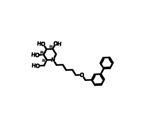 OC[C@H]1[C@@H](O)C(O)[C@@H](O)CN1CCCCCOCc1cccc(-c2ccccc2)c1